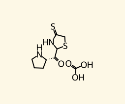 O=C(C1NC(=S)CS1)[C@@H]1CCCN1.O=C(O)O